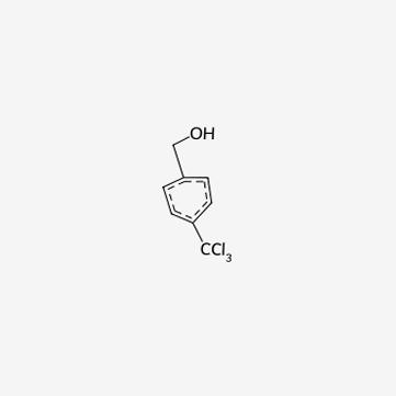 OCc1ccc(C(Cl)(Cl)Cl)cc1